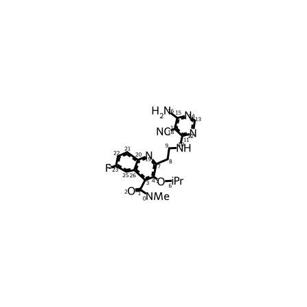 CNC(=O)c1c(OC(C)C)c(CCNc2ncnc(N)c2C#N)nc2ccc(F)cc12